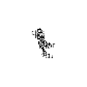 CC(C)(C)[Si](C)(C)OC1CN(C[C@H](Oc2ncnc3c2cnn3-c2c(F)cccc2Cl)C(=O)Nc2ccc(F)cn2)C1